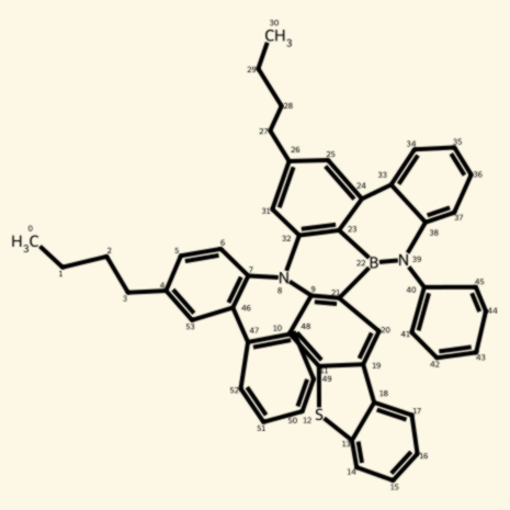 CCCCc1ccc(N2c3cc4sc5ccccc5c4cc3B3c4c(cc(CCCC)cc42)-c2ccccc2N3c2ccccc2)c(-c2ccccc2)c1